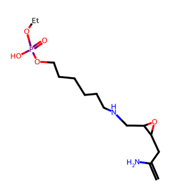 C=C(N)CC1OC1CNCCCCCCOP(=O)(O)OCC